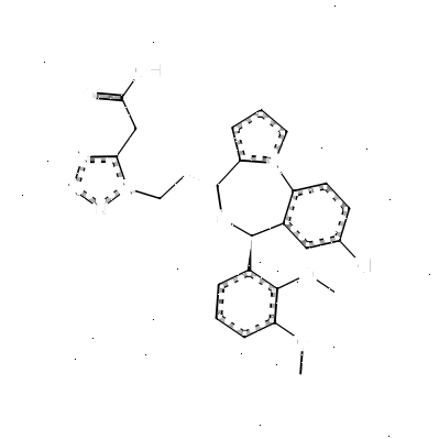 COc1cccc([C@H]2O[C@H](CCn3nnnc3CC(=O)O)c3cccn3-c3ccc(Cl)cc32)c1OC